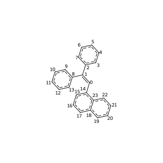 C(=C(c1ccccc1)c1ccccc1)c1cccc2ccccc12